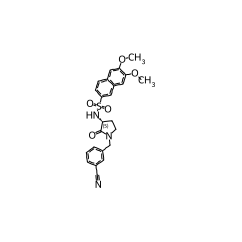 COc1cc2ccc(S(=O)(=O)N[C@H]3CCN(Cc4cccc(C#N)c4)C3=O)cc2cc1OC